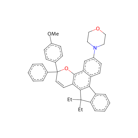 CCC1(CC)c2ccccc2-c2c1c1c(c3cc(N4CCOCC4)ccc23)OC(c2ccccc2)(c2ccc(OC)cc2)C=C1